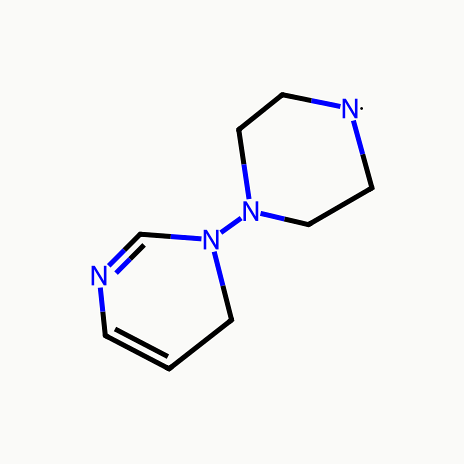 C1=CN=CN(N2CC[N]CC2)C1